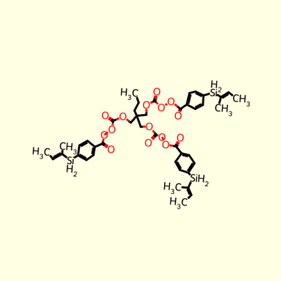 C/C=C(\C)[SiH2]c1ccc(C(=O)OOC(=O)OCC(CCC)(COC(=O)OOC(=O)c2ccc([SiH2]/C(C)=C/C)cc2)COC(=O)OOC(=O)c2ccc([SiH2]/C(C)=C/C)cc2)cc1